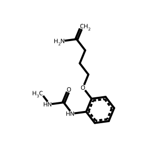 C=C(N)CCCOc1ccccc1NC(=O)NC